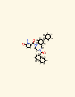 O=C1CCC(C(=O)N2CCN(C(=O)c3cccc4ccccc34)Cc3cc(-c4ccccc4)ccc32)N1